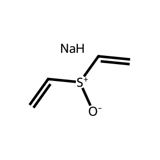 C=C[S+]([O-])C=C.[NaH]